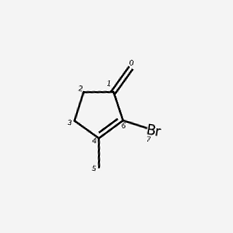 C=C1CCC(C)=C1Br